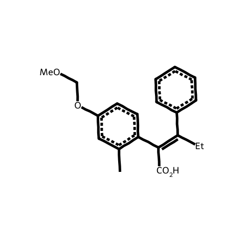 CC/C(=C(\C(=O)O)c1ccc(OCOC)cc1C)c1ccccc1